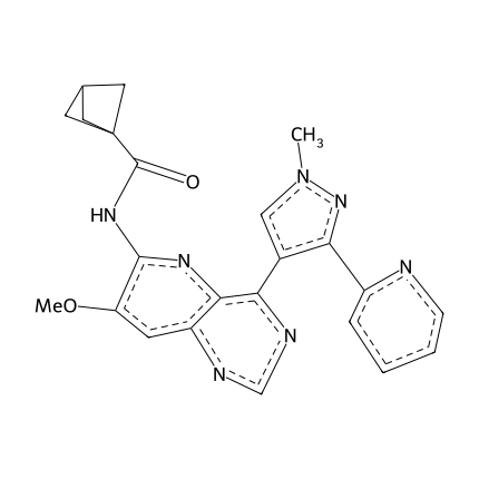 COc1cc2ncnc(-c3cn(C)nc3-c3ccccn3)c2nc1NC(=O)C12CC(C1)C2